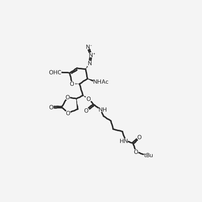 CC(=O)N[C@H]1[C@H]([C@H](OC(=O)NCCCCNC(=O)OC(C)(C)C)[C@H]2COC(=O)O2)OC(C=O)=C[C@@H]1N=[N+]=[N-]